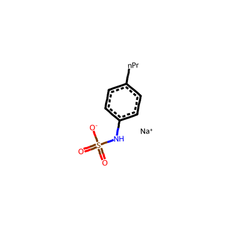 CCCc1ccc(NS(=O)(=O)[O-])cc1.[Na+]